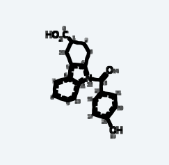 O=C(O)C1CCc2c(c3ccccc3n2C(=O)c2ccc(O)cc2)C1